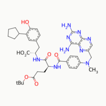 CN(Cc1cnc2nc(N)nc(N)c2n1)c1ccc(C(=O)N[C@@H](CCC(=O)OC(C)(C)C)C(=O)N[C@@H](Cc2ccc(O)c(C3CCCC3)c2)C(=O)O)cc1